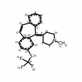 CN1CCC(=C2c3ccccc3C=Cc3ccc(SC(F)(F)F)cc32)CC1